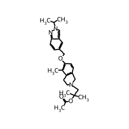 CC(=O)OC(C)(C)CN1CCc2c(ccc(OCc3ccc4nn(C(C)C)cc4c3)c2C)C1